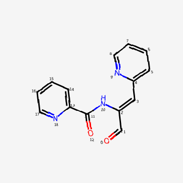 O=[C]C(=Cc1ccccn1)NC(=O)c1ccccn1